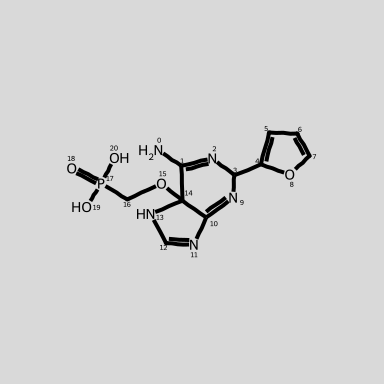 NC1=NC(c2ccco2)N=C2N=CNC12OCP(=O)(O)O